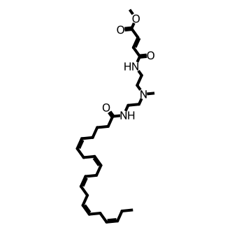 CC/C=C\C/C=C\C/C=C\C/C=C\C/C=C\CCCC(=O)NCCN(C)CCNC(=O)/C=C/C(=O)OC